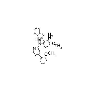 COc1ccccc1-c1cc(Nc2ccc(OC)c(N)c2-c2nc3ccccc3[nH]2)ncn1